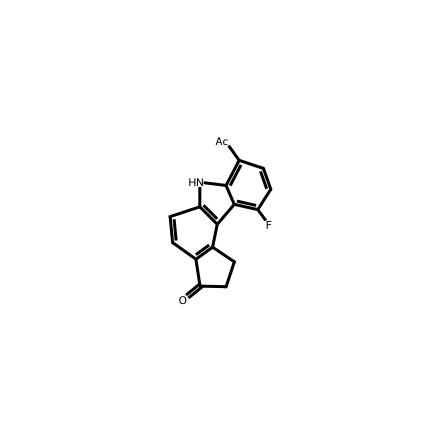 CC(=O)c1ccc(F)c2c1[nH]c1ccc3c(c12)CCC3=O